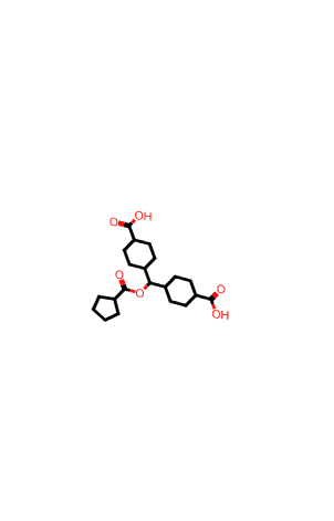 O=C(O)C1CCC(C(OC(=O)C2CCCC2)C2CCC(C(=O)O)CC2)CC1